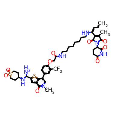 C=C/C=C(/NCCCCCCCCNC(=O)COc1ccc(-c2cn(C)c(=O)c3cc(C(N)NC4CCS(=O)(=O)CC4)sc23)cc1C(F)(F)F)C1=C(C)C(=O)N(C2CCC(=O)NC2=O)C1=O